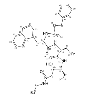 CCC(C)CNC(=O)C[C@H](O)[C@H](CC(C)C)NC(=O)[C@H](CC(C)C)NC(=O)[C@H](Cc1cccc2ccccc12)NC(=O)OCc1ccccc1